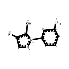 Cc1cccc(-n2ncc(C(C)C)c2O)c1